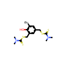 CCC(C)c1cc(CSC(=S)N(C)C)cc(CSC(=S)N(C)C)c1O